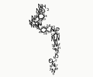 CN1CCN(C(=O)CCOCCN2CCN(c3ncc(C(=O)N4CCc5cc(Cn6nc(-c7ccc8oc(N)nc8c7)c7c(N)ncnc76)ccc5C4)cn3)CC2)CC1